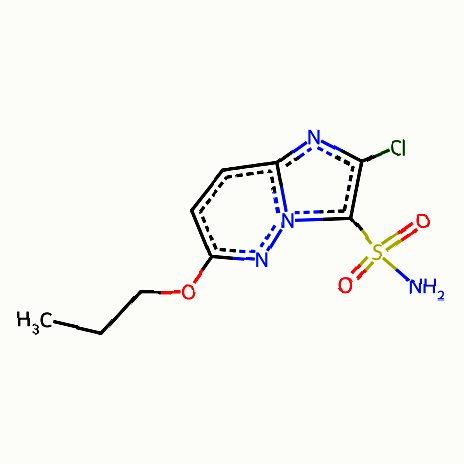 CCCOc1ccc2nc(Cl)c(S(N)(=O)=O)n2n1